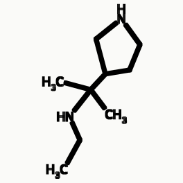 CCNC(C)(C)C1CCNC1